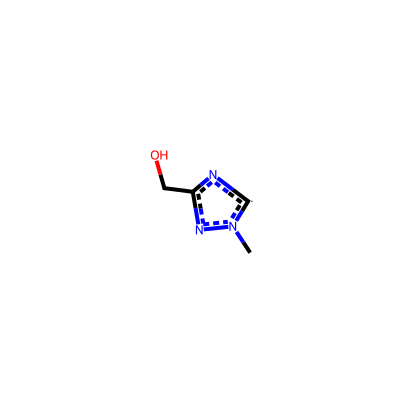 Cn1[c]nc(CO)n1